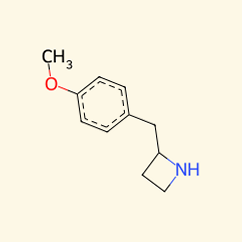 COc1ccc(CC2CCN2)cc1